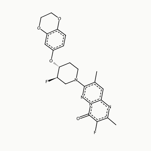 Cc1cc2nc(C)c(F)c(=O)n2nc1N1CC[C@@H](Oc2ccc3c(c2)OCCO3)[C@H](F)C1